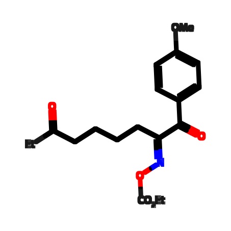 CCOC(=O)O/N=C(\CCCCC(=O)CC)C(=O)c1ccc(OC)cc1